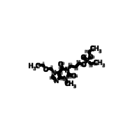 CCOCn1cnc2c1c(=O)n(CCCOP(=O)(CC)OCC)c(=O)n2C